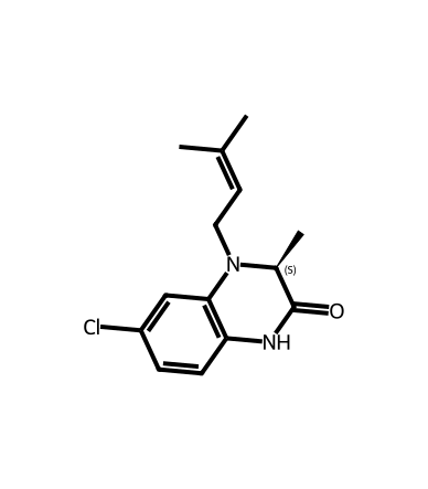 CC(C)=CCN1c2cc(Cl)ccc2NC(=O)[C@@H]1C